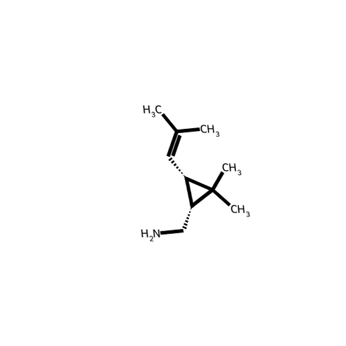 CC(C)=C[C@H]1[C@@H](CN)C1(C)C